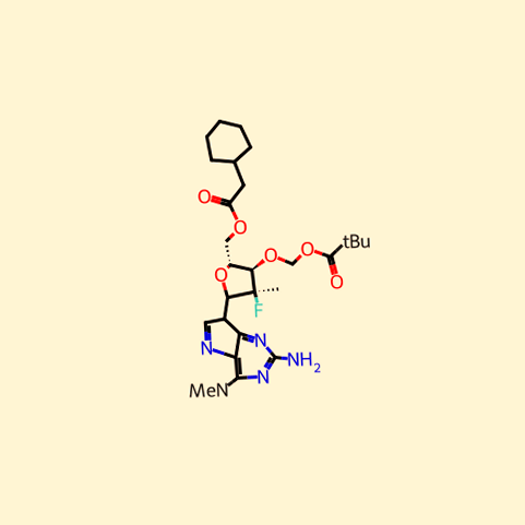 CNc1nc(N)nc2c1N=CC2C1O[C@H](COC(=O)CC2CCCCC2)[C@@H](OCOC(=O)C(C)(C)C)[C@@]1(C)F